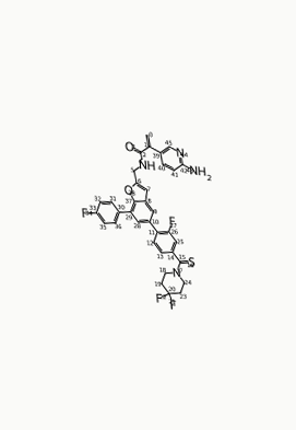 C=C(C(=O)NCc1cc2cc(-c3ccc(C(=S)N4CCC(F)(F)CC4)cc3F)cc(-c3ccc(F)cc3)c2o1)c1ccc(N)nc1